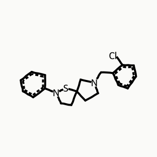 Clc1ccccc1CN1CCC2(CCN(c3ccccc3)S2)C1